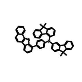 CC1(C)c2ccccc2-c2cc(N(c3ccc(-c4cccc5c4sc4c6ccccc6ccc54)cc3)c3cccc4c3-c3ccccc3C4(C)C)ccc21